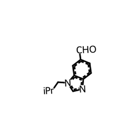 CC(C)Cn1cnc2ccc(C=O)cc21